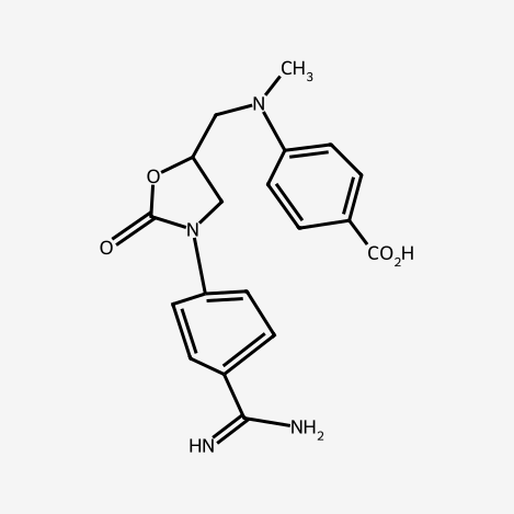 CN(CC1CN(c2ccc(C(=N)N)cc2)C(=O)O1)c1ccc(C(=O)O)cc1